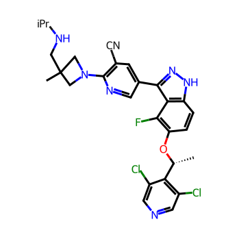 CC(C)NCC1(C)CN(c2ncc(-c3n[nH]c4ccc(O[C@H](C)c5c(Cl)cncc5Cl)c(F)c34)cc2C#N)C1